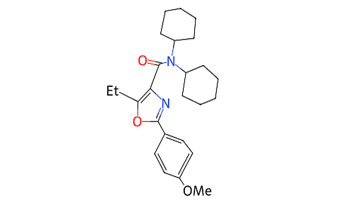 CCc1oc(-c2ccc(OC)cc2)nc1C(=O)N(C1CCCCC1)C1CCCCC1